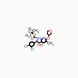 Cc1cc(C(O)C(NC(=O)OC(C)(C)C)c2ccc(Cl)c(Cl)c2)cnc1OC1CCOC1